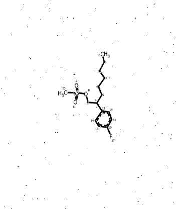 CCCCCCC(COS(C)(=O)=O)c1ccc(F)cc1